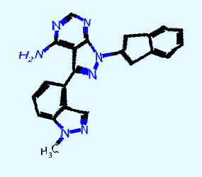 Cn1ncc2c(-c3nn(C4Cc5ccccc5C4)c4ncnc(N)c34)cccc21